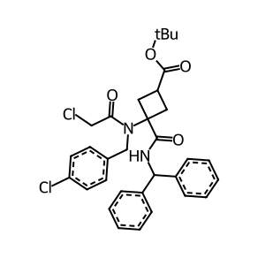 CC(C)(C)OC(=O)C1CC(C(=O)NC(c2ccccc2)c2ccccc2)(N(Cc2ccc(Cl)cc2)C(=O)CCl)C1